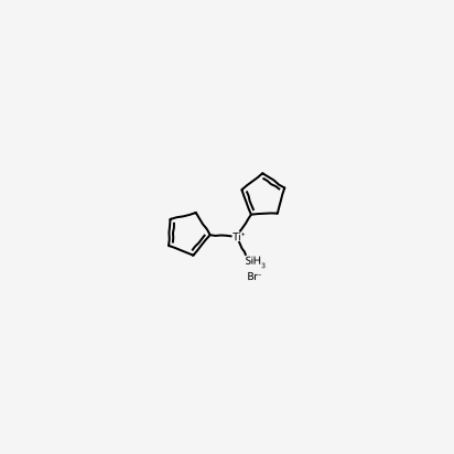 [Br-].[SiH3][Ti+]([C]1=CC=CC1)[C]1=CC=CC1